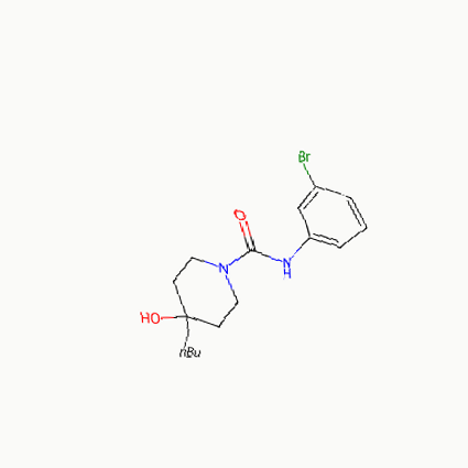 CCCCC1(O)CCN(C(=O)Nc2cccc(Br)c2)CC1